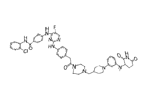 CN(c1cccc(N2CCC(CN3CCN(C(=O)Cc4ccc(Nc5ncc(F)c(Nc6ccc(C(=O)Nc7ccccc7Cl)cc6)n5)cc4)CC3)CC2)c1)C1CCC(=O)NC1=O